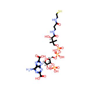 CC(C)(COP(=O)(O)OP(=O)(O)OC[C@H]1O[C@@H](n2c(C(=O)O)nc3c(N)nc(C(=O)O)nc32)[C@H](O)[C@@H]1OP(=O)(O)O)[C@@H](O)C(=O)NCCC(=O)NCCS